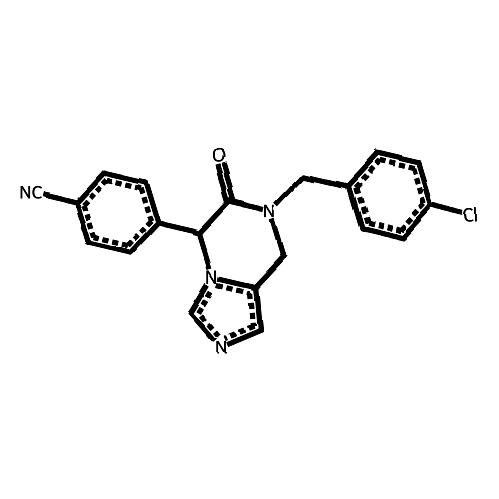 N#Cc1ccc(C2C(=O)N(Cc3ccc(Cl)cc3)Cc3cncn32)cc1